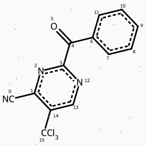 N#Cc1nc(C(=O)c2ccccc2)ncc1C(Cl)(Cl)Cl